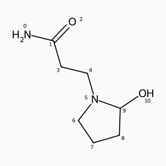 NC(=O)CCN1CCCC1O